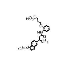 CCCCCCn1ccc2cc(/C(C)=C/C(=O)Nc3ccccc3OCCCC(=O)O)ccc21